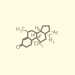 CC(=O)[C@H]1CC[C@H]2[C@@H]3C[C@H](C)C4=CC(=O)CC[C@]4(C)[C@@]3(F)CC[C@]12C